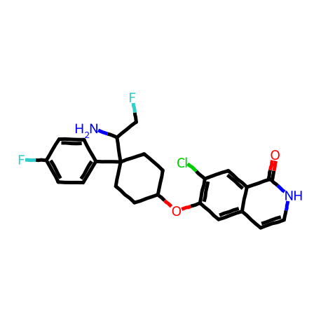 NC(CF)C1(c2ccc(F)cc2)CCC(Oc2cc3cc[nH]c(=O)c3cc2Cl)CC1